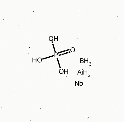 B.O=P(O)(O)O.[AlH3].[Nb]